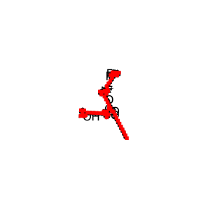 CCCCCCCCCCCCCCCCOCC(=O)OCC(CCCCC(=O)CCCc1cc(C(F)(F)F)[n+](CCCCCCCCCCc2c(C(F)(F)F)cc(C)c3ccccc23)c2ccccc12)OCc1cc(C)c(CCCCCCCCCCC2C(O)CC(CC)C3CCCCC23)c2ccccc12